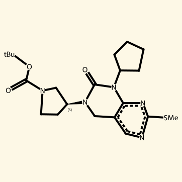 CSc1ncc2c(n1)N(C1CCCC1)C(=O)N([C@H]1CCN(C(=O)OC(C)(C)C)C1)C2